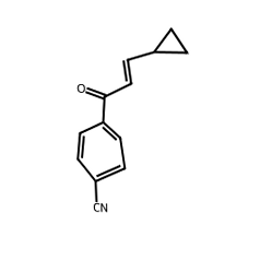 N#Cc1ccc(C(=O)/C=C/C2CC2)cc1